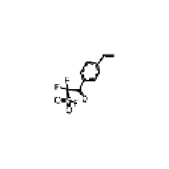 C=Cc1ccc(C(=O)C(F)(F)S(=O)(=O)F)cc1